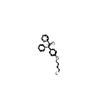 ClCCCCOc1ccc(/C(=C(\Cl)c2ccccc2)c2ccccc2)cc1